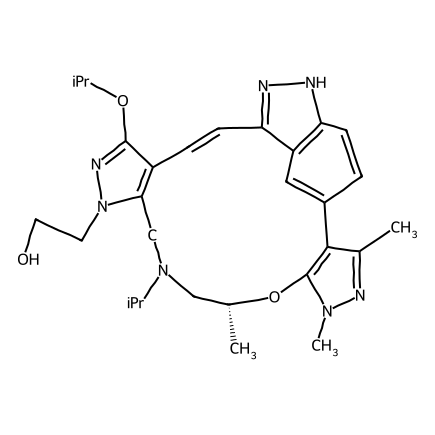 Cc1nn(C)c2c1-c1ccc3[nH]nc(c3c1)/C=C/c1c(OC(C)C)nn(CCO)c1CN(C(C)C)C[C@@H](C)O2